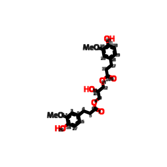 COc1cc(CCC(=O)OCC(O)COC(=O)CCc2ccc(O)c(OC)c2)ccc1O